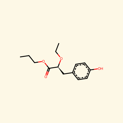 CCCOC(=O)[C@H](Cc1ccc(O)cc1)OCC